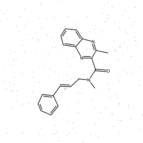 Cc1nc2ccccc2nc1C(=O)N(C)C/C=C/c1ccccc1